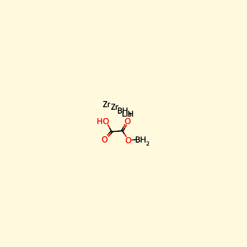 B.BOC(=O)C(=O)O.[LiH].[Zr].[Zr]